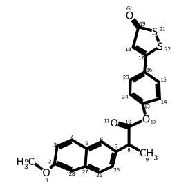 COc1ccc2cc(C(C)C(=O)Oc3ccc(-c4cc(=O)ss4)cc3)ccc2c1